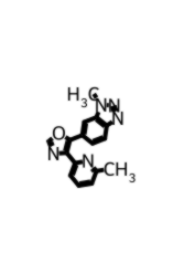 Cc1cccc(-c2ncoc2-c2ccc3nnn(C)c3c2)n1